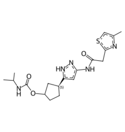 Cc1csc(CC(=O)Nc2cc([C@H]3CCC(OC(=O)NC(C)C)C3)[nH]n2)n1